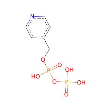 O=P(O)(O)OP(=O)(O)OCc1ccncc1